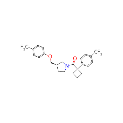 O=C(N1CC[C@@H](COc2ccc(C(F)(F)F)cc2)C1)C1(c2ccc(C(F)(F)F)cc2)CCC1